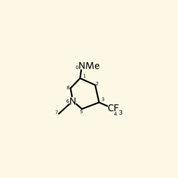 CNC1CC(C(F)(F)F)CN(C)C1